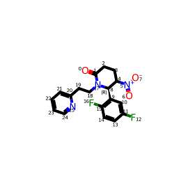 O=C1CCC([N+](=O)[O-])[C@@H](c2cc(F)ccc2F)N1CCc1ccccn1